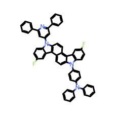 Fc1ccc2c(c1)c1c3ccc4c(c3ccc1n2-c1ccc(N(c2ccccc2)c2ccccc2)cc1)c1cc(F)ccc1n4-c1cc(-c2ccccc2)nc(-c2ccccc2)c1